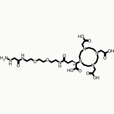 NNCC(=O)NCCOCCOCCNC(=O)CC[C@H](C(=O)O)N1CCN(CC(=O)O)CCN(CC(=O)O)CCN(CC(=O)O)CC1